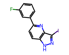 Fc1cccc(-c2ccc3[nH]nc(I)c3n2)c1